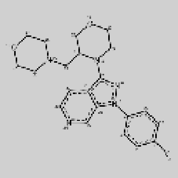 Clc1ccc(-n2nc(N3CCOCC3CN3CCOCC3)c3ccncc32)cc1